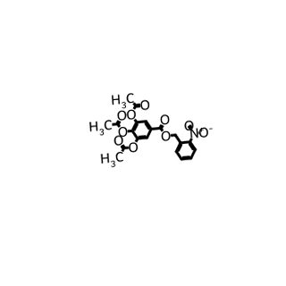 CC(=O)Oc1cc(C(=O)OCc2ccccc2[N+](=O)[O-])cc(OC(C)=O)c1OC(C)=O